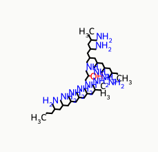 CCCC(CN)CC(CN)CC(CN)CC(CN)CC(CNCC(O)CNCC(CC(CN)CC(CC)CN)CC(CN)CC(CN)CC(CC)CN)CC(CC)CN